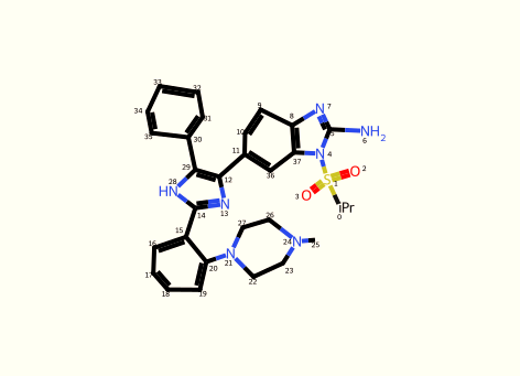 CC(C)S(=O)(=O)n1c(N)nc2ccc(-c3nc(-c4ccccc4N4CCN(C)CC4)[nH]c3-c3ccccc3)cc21